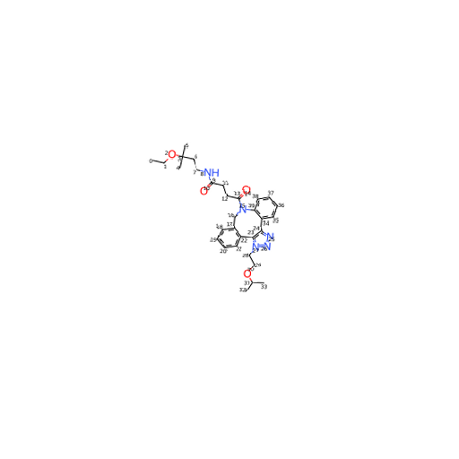 CCOC(C)(C)CCNC(=O)CCC(=O)N1Cc2ccccc2-c2c(nnn2CCOC(C)C)-c2ccccc21